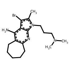 Cc1c(Br)c2c(N)c3c(nc2n1CCCN(C)C)CCCCC3